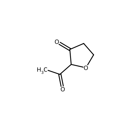 CC(=O)C1OCCC1=O